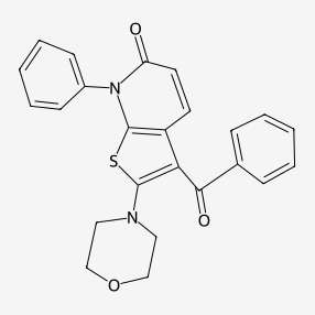 O=C(c1ccccc1)c1c(N2CCOCC2)sc2c1ccc(=O)n2-c1ccccc1